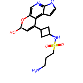 NCCCS(=O)(=O)NC1CC(C2=CB(O)Oc3cnc4[nH]ccc4c32)C1